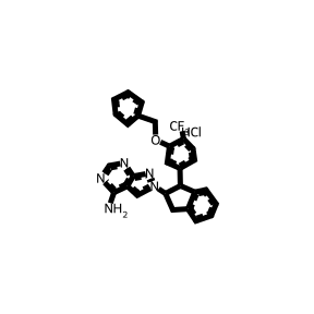 Cl.Nc1ncnc2nn(C3Cc4ccccc4C3c3ccc(C(F)(F)F)c(OCc4ccccc4)c3)cc12